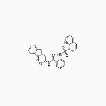 CCC(Cc1cc2ccccc2[nH]1)NC(=O)c1ccccc1NS(=O)(=O)c1cccc2cccnc12